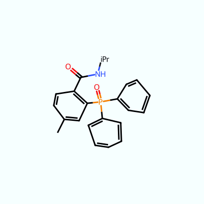 Cc1ccc(C(=O)NC(C)C)c(P(=O)(c2ccccc2)c2ccccc2)c1